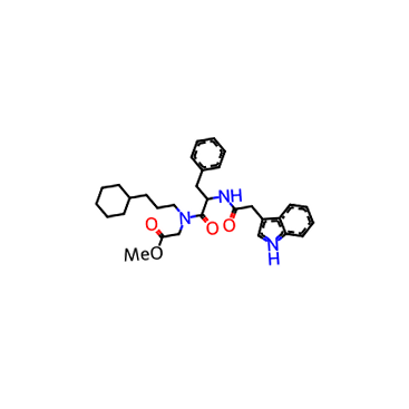 COC(=O)CN(CCCC1CCCCC1)C(=O)C(Cc1ccccc1)NC(=O)Cc1c[nH]c2ccccc12